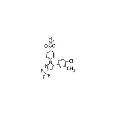 Cc1cc(-c2cc(C(F)(F)F)nn2-c2ccc(S(N)(=O)=O)cc2)ccc1Cl